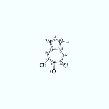 Cn1cnc2cc(Cl)c(=O)c(Cl)cc21